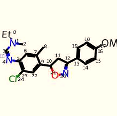 CCN(C)/C=N\c1cc(C)c(C2CC(c3ccc(OC)cc3)=NO2)cc1Cl